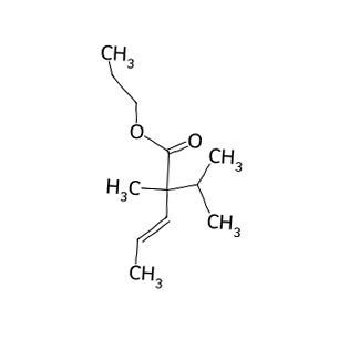 CC=CC(C)(C(=O)OCCC)C(C)C